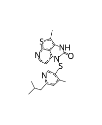 Cc1cc(CC(C)C)ncc1SN1C(=O)Nc2c(C)sc3nccc1c23